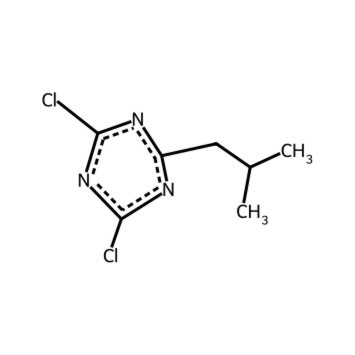 CC(C)Cc1nc(Cl)nc(Cl)n1